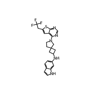 FC(F)(F)Cc1cc2c(N3CCC4(CC(Nc5ccc6cc[nH]c6c5)C4)C3)ncnc2s1